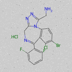 Cl.NCc1nnc2n1-c1ccc(Br)c(Cl)c1C(c1c(F)cccc1F)=NC2